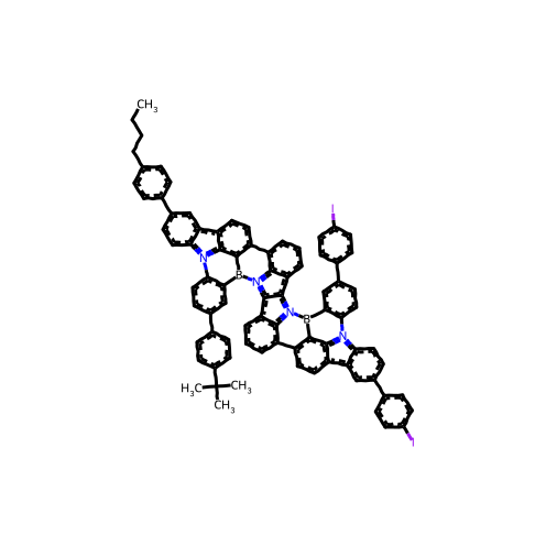 CCCCc1ccc(-c2ccc3c(c2)c2ccc4c5c2n3-c2ccc(-c3ccc(C(C)(C)C)cc3)cc2B5n2c3c-4cccc3c3c2c2cccc4c2n3B2c3cc(-c5ccc(I)cc5)ccc3-n3c5ccc(-c6ccc(I)cc6)cc5c5ccc-4c2c53)cc1